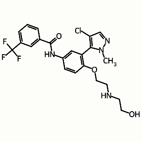 Cn1ncc(Cl)c1-c1cc(NC(=O)c2cccc(C(F)(F)F)c2)ccc1OCCNCCO